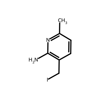 Cc1ccc(CI)c(N)n1